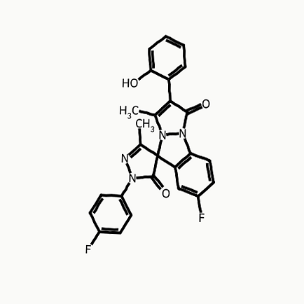 CC1=NN(c2ccc(F)cc2)C(=O)C12c1cc(F)ccc1-n1c(=O)c(-c3ccccc3O)c(C)n12